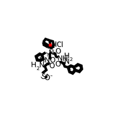 C[S+]([O-])CCC(N)C(=O)NC(=O)[C@H](Cc1ccccc1)N(C(=O)CNC(=O)[C@@H](N)Cc1ccc2ccccc2c1)C1C2CC3CC(C2)CC1C3.Cl